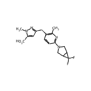 Cc1nc(N2CC3C(C2)C3(F)F)ccc1Cc1cc(C(=O)O)n(C)n1